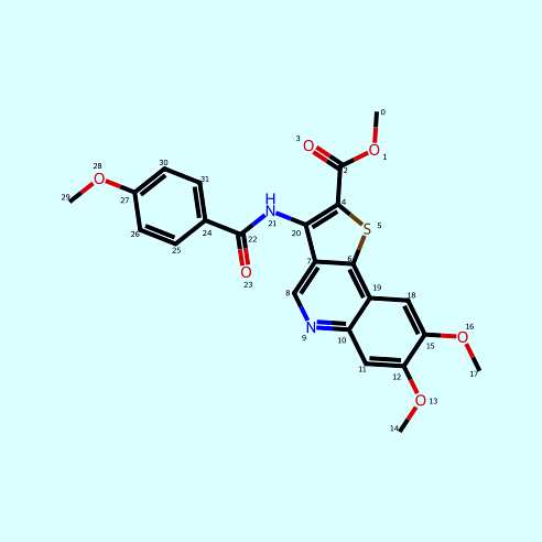 COC(=O)c1sc2c(cnc3cc(OC)c(OC)cc32)c1NC(=O)c1ccc(OC)cc1